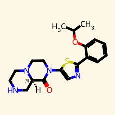 CC(C)Oc1ccccc1-c1ncc(N2CCN3CCNC[C@@H]3C2=O)s1